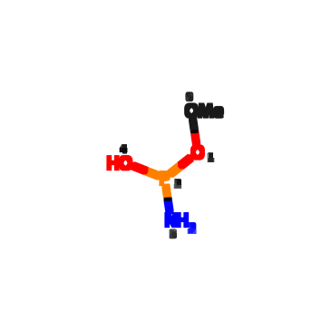 COOP(N)O